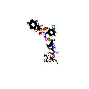 CC(C)(C)OC(=O)Nc1nc(C[S+]([O-])c2ccc(Cl)cc2NS(=O)(=O)c2cc3ccccc3o2)cs1